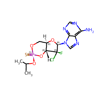 CC(C)O[P@@]1(=S)OC[C@H]2O[C@@H](n3cnc4c(N)ncnc43)[C@](F)(Cl)[C@@H]2O1